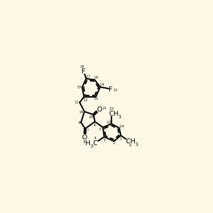 Cc1cc(C)c(C2C(=O)CC(Cc3cc(F)cc(F)c3)C2=O)c(C)c1